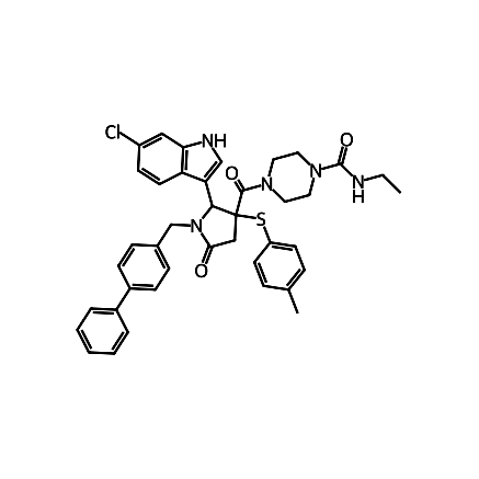 CCNC(=O)N1CCN(C(=O)C2(Sc3ccc(C)cc3)CC(=O)N(Cc3ccc(-c4ccccc4)cc3)C2c2c[nH]c3cc(Cl)ccc23)CC1